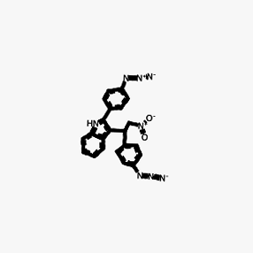 [N-]=[N+]=Nc1ccc(-c2[nH]c3ccccc3c2C(C[N+](=O)[O-])c2ccc(N=[N+]=[N-])cc2)cc1